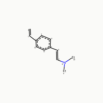 C=Cc1ccc(C=CN(CC)CC)cc1